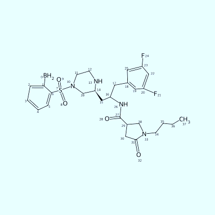 Bc1ccccc1S(=O)(=O)N1CCN[C@@H](CC(Cc2cc(F)cc(F)c2)NC(=O)C2CC(=O)N(CCCC)C2)C1